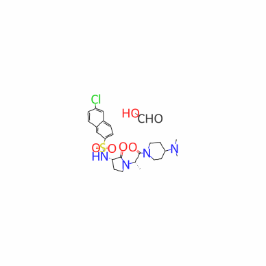 C[C@@H](C(=O)N1CCC(N(C)C)CC1)N1CC[C@H](NS(=O)(=O)c2ccc3cc(Cl)ccc3c2)C1=O.O=CO